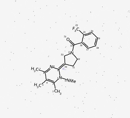 CNN1C(C)=C(C)C(C)=N/C1=C1/CCN(C(=O)c2ccccc2C(F)(F)F)C1